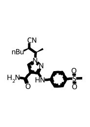 CCCC[C@@H](C#N)[C@@H](C)n1cc(C(N)=O)c(Nc2ccc(S(C)(=O)=O)cc2)n1